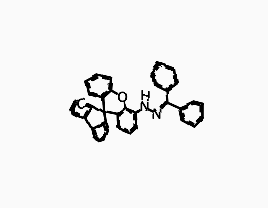 c1ccc(C(=NNc2cccc3c2Oc2ccccc2C32c3ccccc3-c3ccccc32)c2ccccc2)cc1